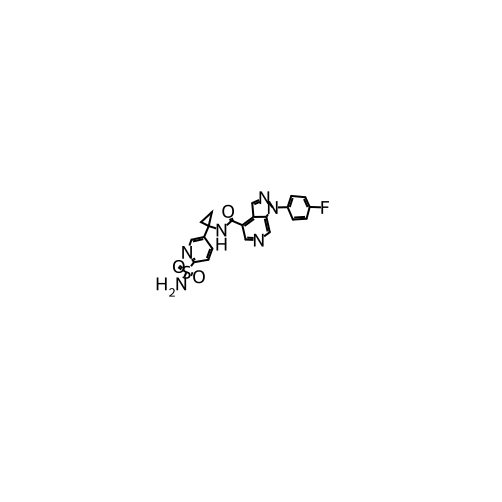 NS(=O)(=O)c1ccc(C2(NC(=O)c3cncc4c3cnn4-c3ccc(F)cc3)CC2)cn1